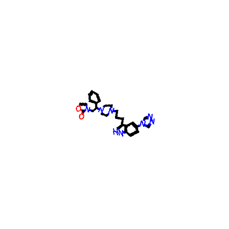 O=c1occn1CC(c1ccccc1)N1CCN(CCCc2c[nH]c3ccc(-n4cnnc4)cc23)CC1